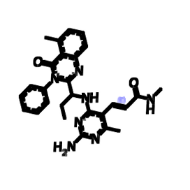 CCC(Nc1nc(N)nc(C)c1/C=C/C(=O)NC)c1nc2cccc(C)c2c(=O)n1-c1ccccc1